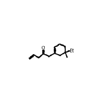 C=CCC(=O)CC1=CCCC(C)(CC)C1